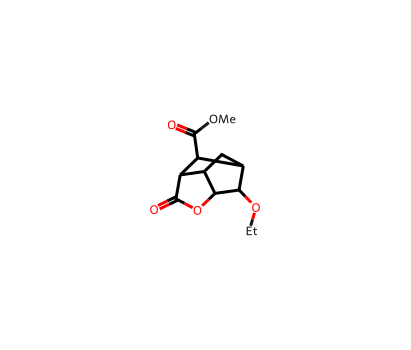 CCOC1C2CC3C1OC(=O)C3C2C(=O)OC